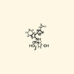 C=C(O)[C@H]1C[C@@H](O)CN1C(=O)Nc1sc2c(c1-c1nc(C3CC3)no1)CCCC2